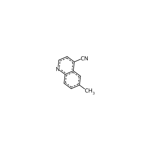 Cc1ccc2nccc(C#N)c2c1